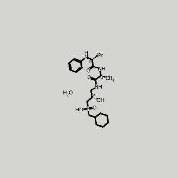 CC(C)[C@H](Nc1ccccc1)C(=O)N[C@@H](C)C(=O)NC[C@H](O)CP(=O)(O)CC1CCCCC1.O